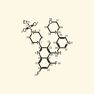 CCS(=O)(=O)N1CCN(c2nc3cc(F)cc(F)c3c(Nc3cncc(N4CCOCC4)c3)c2C)CC1